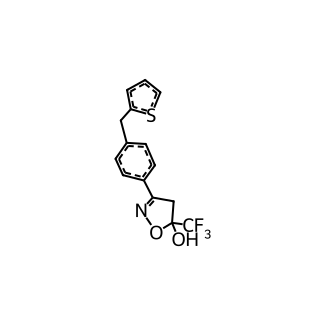 OC1(C(F)(F)F)CC(c2ccc(Cc3cccs3)cc2)=NO1